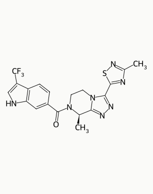 Cc1nsc(-c2nnc3n2CCN(C(=O)c2ccc4c(C(F)(F)F)c[nH]c4c2)[C@@H]3C)n1